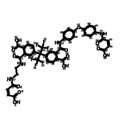 O=C(O)/C=C\C(=O)NCCNC(=O)c1cc(C(c2ccc(C(=O)O)c(C(=O)Nc3ccc(Oc4ccc(NC(=O)/C=C\C(=O)O)cc4)cc3)c2)(C(F)(F)F)C(F)(F)F)ccc1C(=O)O